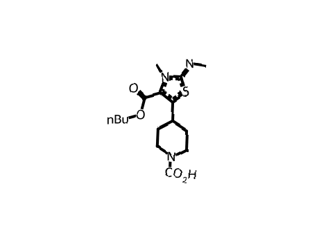 CCCCOC(=O)c1c(C2CCN(C(=O)O)CC2)sc(=NC)n1C